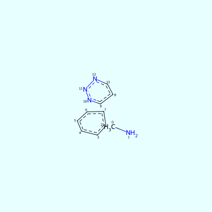 CN.c1ccccc1.c1cnnnc1